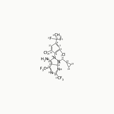 CC(F)(F)c1cc(Cl)c(N2C(N)=C3C(C(F)(F)F)=NC(C(F)(F)F)=NC3N2CC2CC2)c(Cl)c1